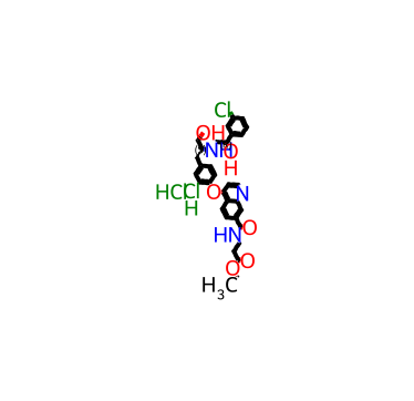 CCOC(=O)CCNC(=O)c1ccc2c(Oc3ccc(C[C@@H](CO)NC[C@H](O)c4cccc(Cl)c4)cc3)ccnc2c1.Cl.Cl